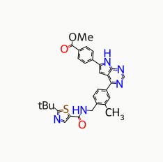 COC(=O)c1ccc(-c2cc3c(-c4ccc(CNC(=O)c5cnc(C(C)(C)C)s5)c(C)c4)ncnc3[nH]2)cc1